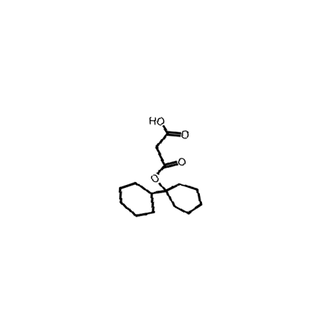 O=C(O)CC(=O)OC1(C2CCCCC2)CCCCC1